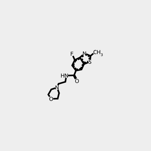 Cc1nc2c(F)cc(C(=O)NCCN3CCOCC3)cc2s1